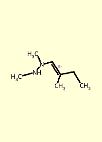 CC/C(C)=C/N(C)NC